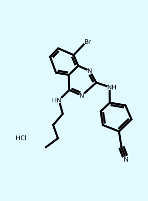 CCCCNc1nc(Nc2ccc(C#N)cc2)nc2c(Br)cccc12.Cl